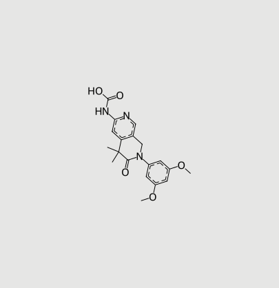 COc1cc(OC)cc(N2Cc3cnc(NC(=O)O)cc3C(C)(C)C2=O)c1